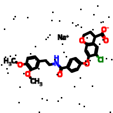 COc1ccc(CCNC(=O)c2ccc(Oc3cc4c(cc3Cl)C(C(=O)[O-])CCO4)cc2)cc1OC.[Na+]